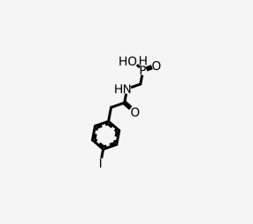 O=C(Cc1ccc(I)cc1)NC[PH](=O)O